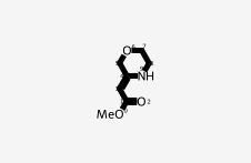 COC(=O)/C=C1/COCCN1